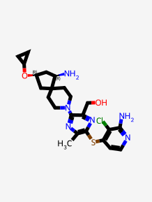 Cc1nc(N2CCC3(CC2)C[C@@H](OC2CC2)C[C@H]3N)c(CO)nc1Sc1ccnc(N)c1Cl